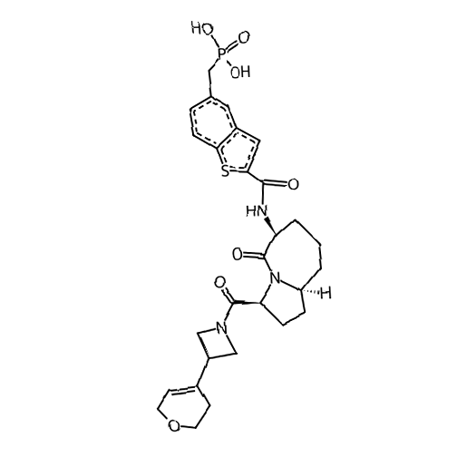 O=C(N[C@H]1CCC[C@H]2CC[C@@H](C(=O)N3CC(C4=CCOCC4)C3)N2C1=O)c1cc2cc(CP(=O)(O)O)ccc2s1